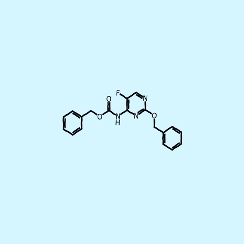 O=C(Nc1nc(OCc2ccccc2)ncc1F)OCc1ccccc1